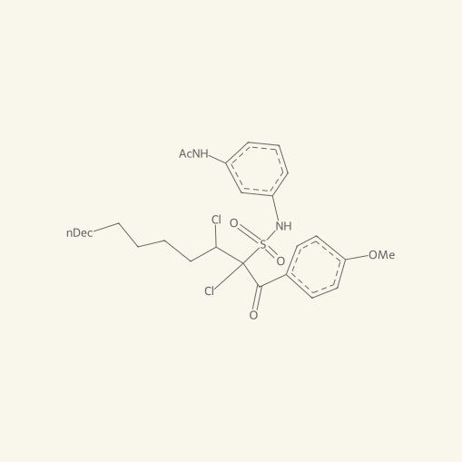 CCCCCCCCCCCCCCC(Cl)C(Cl)(C(=O)c1ccc(OC)cc1)S(=O)(=O)Nc1cccc(NC(C)=O)c1